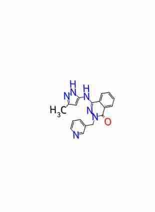 Cc1cc(Nc2nn(Cc3cccnc3)c(=O)c3ccccc23)[nH]n1